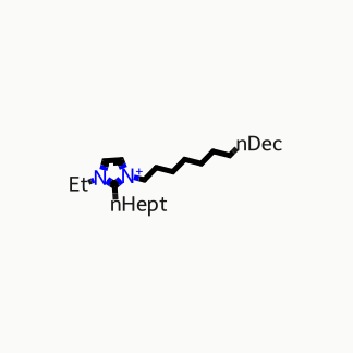 CCCCCCCCCCCCCCCCC[n+]1ccn(CC)c1CCCCCCC